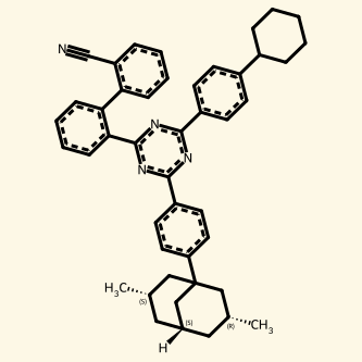 C[C@@H]1C[C@@H]2C[C@H](C)CC(c3ccc(-c4nc(-c5ccc(C6CCCCC6)cc5)nc(-c5ccccc5-c5ccccc5C#N)n4)cc3)(C1)C2